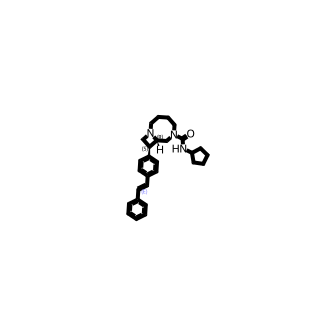 O=C(NC1CCCC1)N1CCCCN2C[C@H](c3ccc(/C=C/c4ccccc4)cc3)[C@@H]2C1